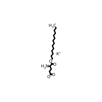 CCCCCCCCCCCCCCOC(=O)C(N)CCC(=O)[O-].[K+]